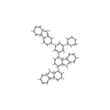 c1cncc(-c2nc(-c3ccc4c(c3)oc3ccccc34)nc(-c3ccc(-c4cccc5c4sc4ccccc45)c4oc5ccccc5c34)n2)c1